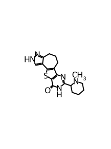 CN1CCCCC1c1nc2c3c(sc2c(=O)[nH]1)-c1c[nH]nc1CCC3